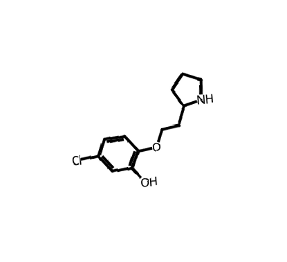 Oc1cc(Cl)ccc1OCCC1CCCN1